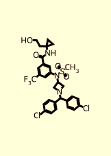 CS(=O)(=O)N(c1cc(C(=O)NC2(CCO)CC2)cc(C(F)(F)F)c1)C1CN(C(c2ccc(Cl)cc2)c2ccc(Cl)cc2)C1